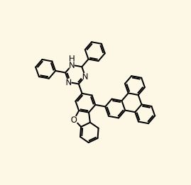 C1=CCC2C(=C1)Oc1cc(C3=NC(c4ccccc4)NC(c4ccccc4)=N3)cc(-c3ccc4c5ccccc5c5ccccc5c4c3)c12